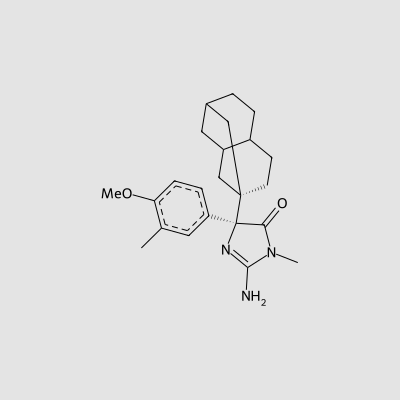 COc1ccc([C@@]2([C@@]34CCC5CCC(CC5C3)C4)N=C(N)N(C)C2=O)cc1C